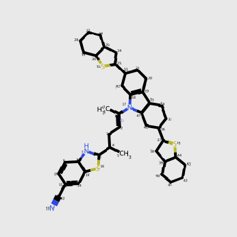 C/C(=C\CC(C)C1NC2C=CC(C#N)=CC2S1)N1C2=C(CCC(C3CC4CCCCC4S3)C2)C2CCC(C3CC4CCCCC4S3)CC21